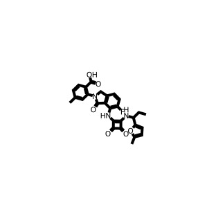 CCC(Nc1c(Nc2c(F)ccc3c2C(=O)N(c2cc(C)ccc2C(=O)O)C3)c(=O)c1=O)c1ccc(C)o1